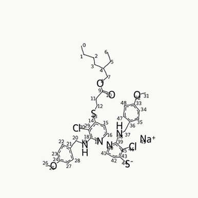 CCCCC(CC)COC(=O)CCSc1ccnc(NCc2ccc(OC)cc2)c1Cl.COc1ccc(CNc2nccc([S-])c2Cl)cc1.[Na+]